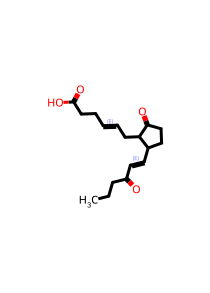 CCCC(=O)/C=C/C1CCC(=O)C1C/C=C/CCC(=O)O